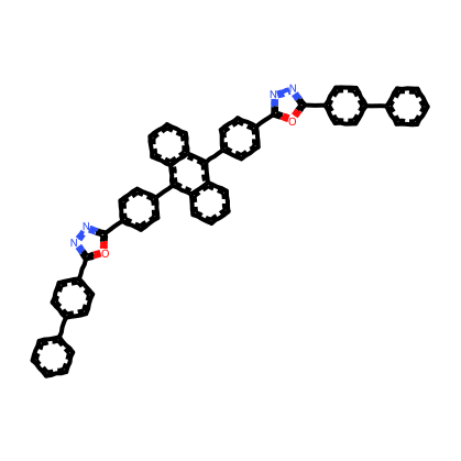 c1ccc(-c2ccc(-c3nnc(-c4ccc(-c5c6ccccc6c(-c6ccc(-c7nnc(-c8ccc(-c9ccccc9)cc8)o7)cc6)c6ccccc56)cc4)o3)cc2)cc1